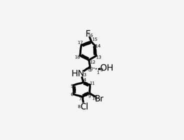 OC[C@H](Nc1ccc(Cl)c(Br)c1)c1ccc(F)cc1